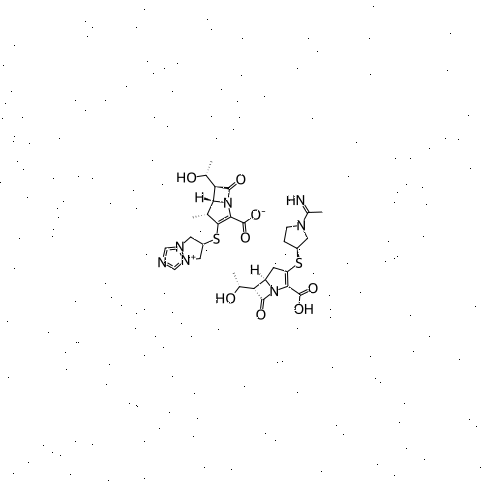 CC(=N)N1CC[C@H](SC2=C(C(=O)O)N3C(=O)[C@H]([C@@H](C)O)[C@H]3C2)C1.C[C@@H](O)[C@H]1C(=O)N2C(C(=O)[O-])=C(SC3Cn4cnc[n+]4C3)[C@H](C)[C@H]12